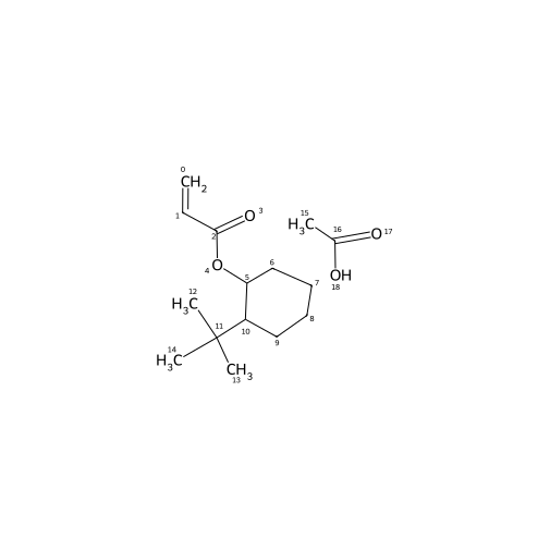 C=CC(=O)OC1CCCCC1C(C)(C)C.CC(=O)O